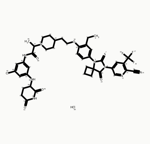 CCc1cc(N2C(=S)N(c3cnc(C#N)c(C(F)(F)F)c3)C(=O)C23CCC3)ccc1OCCC1CCN(C(C)C(=O)Nc2cc(Cl)cc(NC3CCC(=O)NC3=O)c2)CC1.Cl